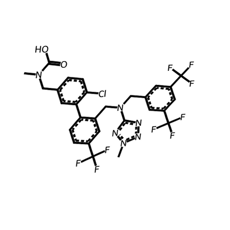 CN(Cc1ccc(Cl)c(-c2ccc(C(F)(F)F)cc2CN(Cc2cc(C(F)(F)F)cc(C(F)(F)F)c2)c2nnn(C)n2)c1)C(=O)O